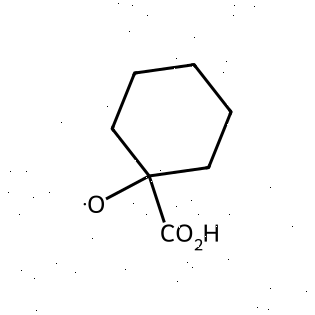 [O]C1(C(=O)O)CCCCC1